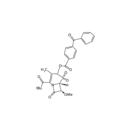 CO[C@H]1C(=O)N2C(C(=O)C(C)(C)C)=C(C)C(OC(=O)c3ccc(C(=O)c4ccccc4)cc3)S(=O)(=O)[C@H]12